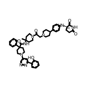 CC1(NC(=O)C2(c3ccccc3)CCN(c3cnnc(-c4ccccc4O)c3)CC2)CCN(C(=O)CN2CCC(c3ccc(N[C@@H]4CCC(=O)NC4=O)cc3)CC2)CC1